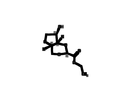 CCOC(=O)[C@H]1OC[C@@H]2OC[C@@H](O)[C@@H]2O1